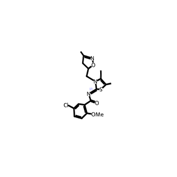 COc1ccc(Cl)cc1C(=O)/N=c1\sc(C)c(C)n1CC1CC(C)=NO1